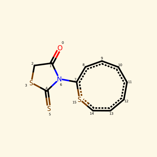 O=C1CSC(=S)N1c1cccccccs1